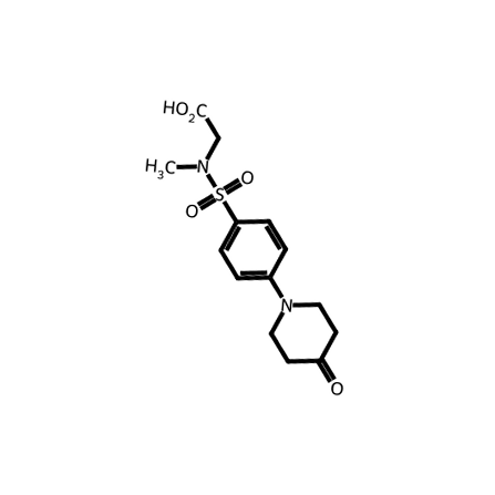 CN(CC(=O)O)S(=O)(=O)c1ccc(N2CCC(=O)CC2)cc1